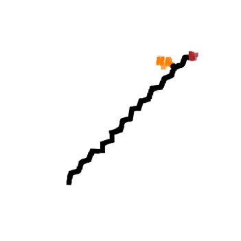 CCCCCCCCCCCCCCCCCCCCCC(P)CCBr